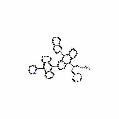 C=C/C=C(\C=C1\C=CC=CC1)c1c2ccccc2c(-c2ccc3ccccc3c2)c2cc(-c3c4ccccc4c(-c4ccccn4)c4ccccc34)ccc12